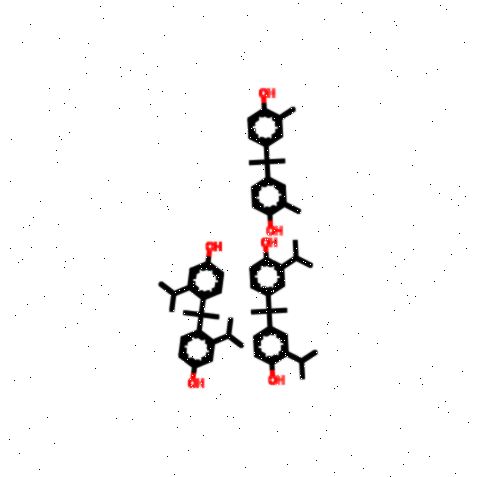 CC(C)c1cc(C(C)(C)c2ccc(O)c(C(C)C)c2)ccc1O.CC(C)c1cc(O)ccc1C(C)(C)c1ccc(O)cc1C(C)C.Cc1cc(C(C)(C)c2ccc(O)c(C)c2)ccc1O